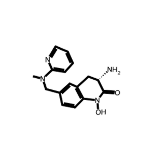 CN(Cc1ccc2c(c1)C[C@H](N)C(=O)N2O)c1ccccn1